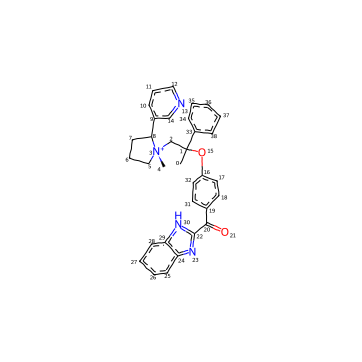 CC(C[N@+]1(C)CCCC1c1cccnc1)(Oc1ccc(C(=O)c2nc3ccccc3[nH]2)cc1)c1ccccc1